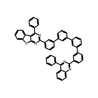 c1ccc(-c2nc(-c3cccc(-c4cccc(-c5cccc(-c6cccc(-c7nc(-c8ccccc8)c8c(n7)sc7ccccc78)c6)c5)c4)c3)nc3ccccc23)cc1